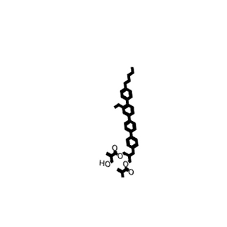 C=C(C)C(=O)OCC(COC(=O)C(=C)CO)Cc1ccc(-c2ccc(-c3ccc(-c4ccc(CCCCC)cc4)c(CC)c3)cc2)cc1